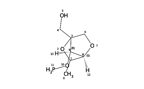 CC1OC2(CO)CO[C@@H]1[C@H]2OP